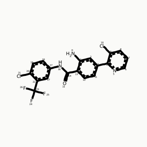 Nc1cc(-c2ncccc2Cl)ccc1C(=O)Nc1ccc(Cl)c(C(F)(F)F)c1